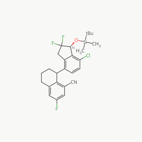 CC(C)(C)[Si](C)(C)O[C@H]1c2c(Cl)ccc(C3CCCc4cc(F)cc(C#N)c43)c2CC1(F)F